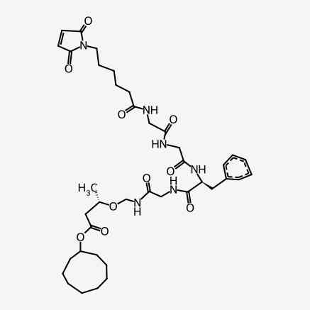 C[C@@H](CC(=O)OC1CCCCCCCC1)OCNC(=O)CNC(=O)[C@H](Cc1ccccc1)NC(=O)CNC(=O)CNC(=O)CCCCCN1C(=O)C=CC1=O